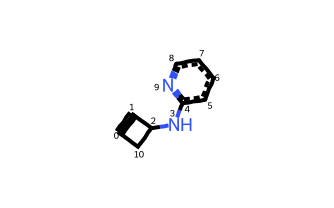 C1#CC(Nc2ccccn2)C1